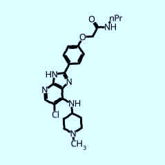 CCCNC(=O)COc1ccc(-c2nc3c(NC4CCN(C)CC4)c(Cl)cnc3[nH]2)cc1